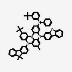 Cc1cc2c3c(c1)N(c1ccc4c(c1)oc1ccccc14)c1cc(N(c4ccccc4)c4cccc(C(C)(C)C)c4)ccc1B3c1cc(C(C)(C)C)ccc1N2c1ccc2c(c1)-c1ccccc1C2(C)C